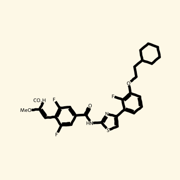 COC(=Cc1c(F)cc(C(=O)Nc2nc(-c3cccc(OCCC4CCCCC4)c3F)cs2)cc1F)C(=O)O